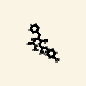 CC(C)(C)OC(=O)NC(Cc1ccccc1)C(O)CC(Cc1ccc(C#N)cc1)C(=O)O